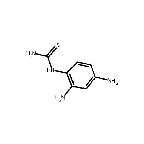 NC(=S)Nc1ccc(N)cc1N